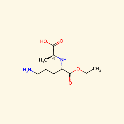 CCOC(=O)C(CCCN)N[C@@H](C)C(=O)O